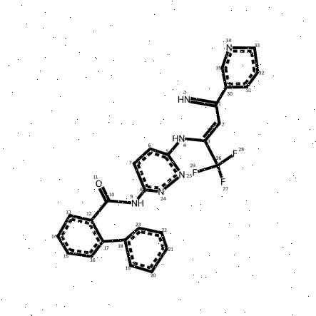 N=C(/C=C(\Nc1ccc(NC(=O)c2ccccc2-c2ccccc2)nn1)C(F)(F)F)c1cccnc1